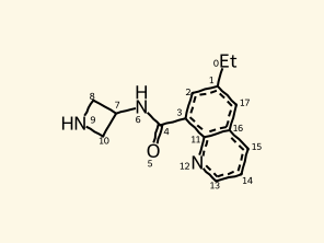 CCc1cc(C(=O)NC2CNC2)c2ncccc2c1